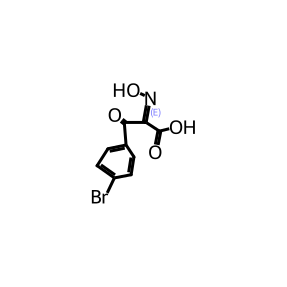 O=C(O)/C(=N/O)C(=O)c1ccc(Br)cc1